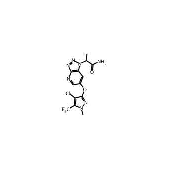 CC(C(N)=O)n1nnc2ncc(Oc3nn(C)c(C(F)(F)F)c3Cl)cc21